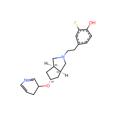 Oc1ccc(CCN2C[C@H]3C[C@H](OC4C=NC=CC4)C[C@H]3C2)cc1F